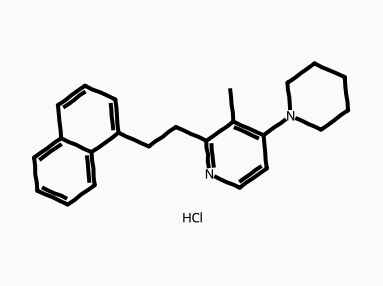 Cc1c(N2CCCCC2)ccnc1CCc1cccc2ccccc12.Cl